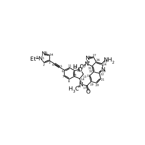 CCn1cc(C#Cc2ccc3c(c2)OCC3N(C)C(=O)c2ccc3nc(N)c4cnn(C)c4c3c2)cn1